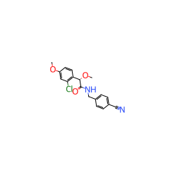 COc1ccc([C@H](OC)C(=O)NCc2ccc(C#N)cc2)c(Cl)c1